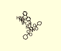 CC(C)c1nc2c(OC(=O)C3CCCCC3)nnc(OC(=O)C3CCCCC3)c2n1Cc1ccc(-c2ccccc2-c2nnn[nH]2)cc1